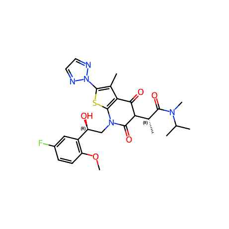 COc1ccc(F)cc1[C@@H](O)CN1C(=O)C([C@@H](C)C(=O)N(C)C(C)C)C(=O)c2c1sc(-n1nccn1)c2C